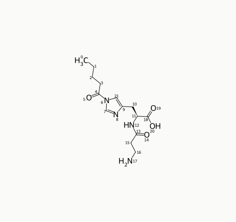 CCCCC(=O)n1cnc(C[C@H](NC(=O)CCN)C(=O)O)c1